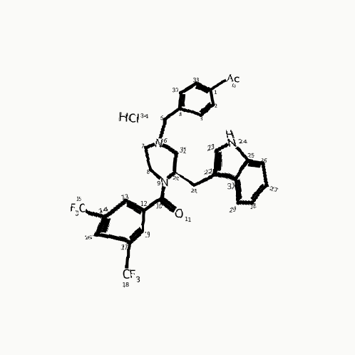 CC(=O)c1ccc(CN2CCN(C(=O)c3cc(C(F)(F)F)cc(C(F)(F)F)c3)[C@H](Cc3c[nH]c4ccccc34)C2)cc1.Cl